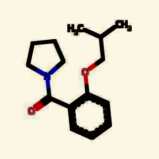 CC(C)COc1ccccc1C(=O)N1CCCC1